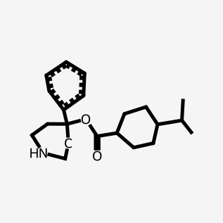 CC(C)C1CCC(C(=O)OC2(c3ccccc3)CCNCC2)CC1